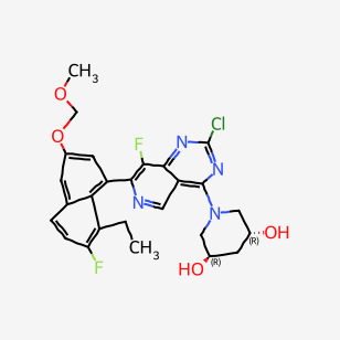 CCc1c(F)ccc2cc(OCOC)cc(-c3ncc4c(N5C[C@H](O)C[C@@H](O)C5)nc(Cl)nc4c3F)c12